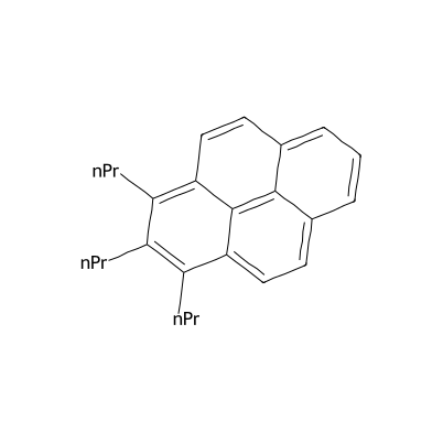 CCCc1c(CCC)c2ccc3cccc4ccc(c1CCC)c2c34